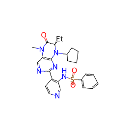 CC[C@@H]1C(=O)N(C)c2cnc(-c3ccncc3NS(=O)(=O)c3ccccc3)nc2N1C1CCCC1